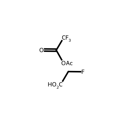 CC(=O)OC(=O)C(F)(F)F.O=C(O)CF